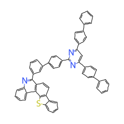 c1ccc(-c2ccc(-c3cc(-c4ccc(-c5ccccc5)cc4)nc(-c4ccc(-c5cccc(-c6nc7ccccc7c7c6ccc6c8ccccc8sc67)c5)cc4)n3)cc2)cc1